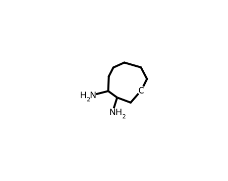 NC1CCCCCCCC1N